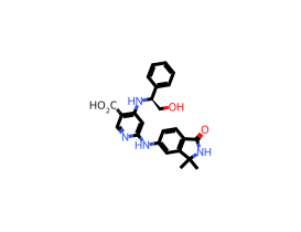 CC1(C)NC(=O)c2ccc(Nc3cc(N[C@H](CO)c4ccccc4)c(C(=O)O)cn3)cc21